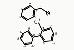 BrCc1ccccc1.Clc1ccccc1-c1ccccc1